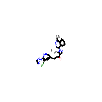 N#Cc1ncc(-n2ncc(C(=O)CCc3cnc(-n4nccn4)c(Cl)c3)c2C(F)(F)F)c2ccccc12